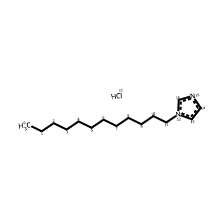 CCCCCCCCCCCCn1ccnc1.Cl